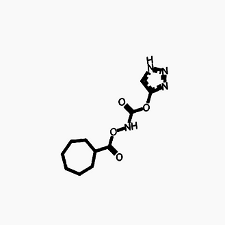 O=C(NOC(=O)C1CCCCCC1)Oc1c[nH]nn1